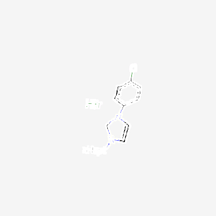 Br.CCCCCCCN1C=CN(c2ccc(Cl)cc2)C1